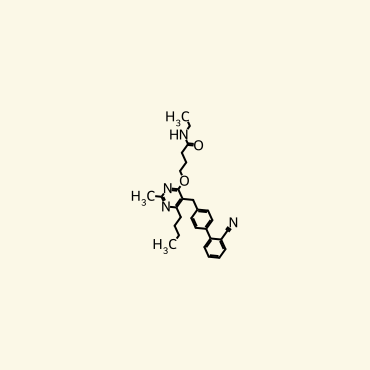 CCCCc1nc(C)nc(OCCCC(=O)NCC)c1Cc1ccc(-c2ccccc2C#N)cc1